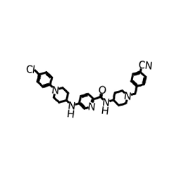 N#Cc1ccc(CN2CCC(NC(=O)c3ccc(NC4CCN(c5ccc(Cl)cc5)CC4)cn3)CC2)cc1